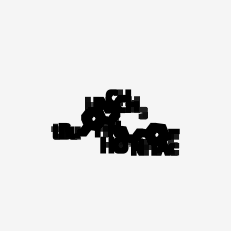 CC(=O)N[C@@H](Cc1ccc(F)cc1)[C@H](O)CN[C@H]1CC(C)(C)Nc2ccc(CC(C)(C)C)cc21